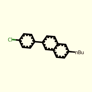 CCCCc1ccc2cc(-c3ccc(Cl)cc3)ccc2c1